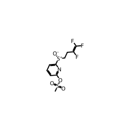 CS(=O)(=O)Oc1cccc([S+]([O-])CCC(F)=C(F)F)n1